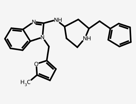 Cc1ccc(Cn2c(NC3CCNC(Cc4ccccc4)C3)nc3ccccc32)o1